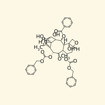 CC1=C2[C@@H](OC(=O)OCc3ccccc3)C(=O)[C@]3(C)[C@@H](OC(=O)OCc4ccccc4)C[C@H]4OC[C@@]4(O)[C@H]3[C@H](OC(=O)c3ccccc3)[C@](O)(C[C@@H]1O)C2(C)C